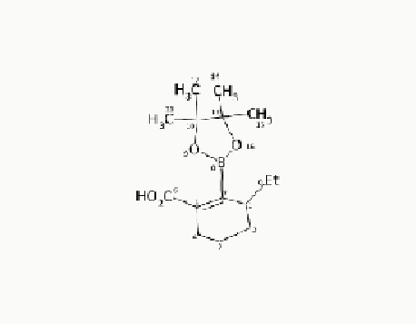 CCC1CCCC(C(=O)O)=C1B1OC(C)(C)C(C)(C)O1